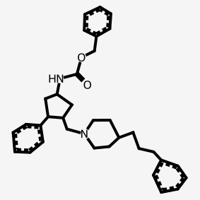 O=C(NC1CC(CN2CCC(CCCc3ccccc3)CC2)C(c2ccccc2)C1)OCc1ccccc1